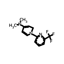 CN(C)C1=CCN(c2cccc(C(F)(F)F)n2)C=C1